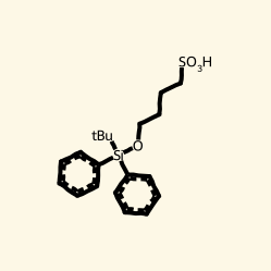 CC(C)(C)[Si](OCCCCS(=O)(=O)O)(c1ccccc1)c1ccccc1